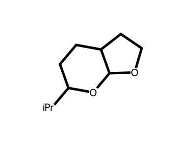 CC(C)C1CCC2CCOC2O1